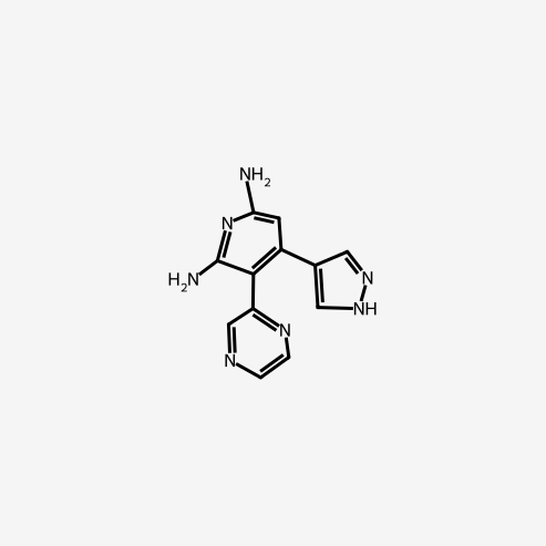 Nc1cc(-c2cn[nH]c2)c(-c2cnccn2)c(N)n1